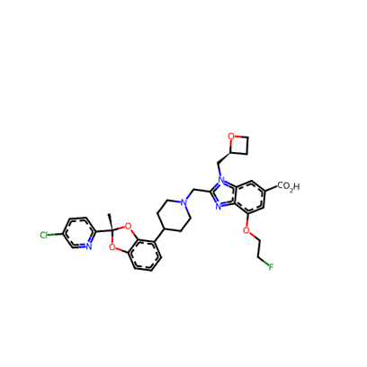 C[C@]1(c2ccc(Cl)cn2)Oc2cccc(C3CCN(Cc4nc5c(OCCF)cc(C(=O)O)cc5n4C[C@@H]4CCO4)CC3)c2O1